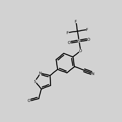 N#Cc1cc(-c2cc(C=O)sn2)ccc1OS(=O)(=O)C(F)(F)F